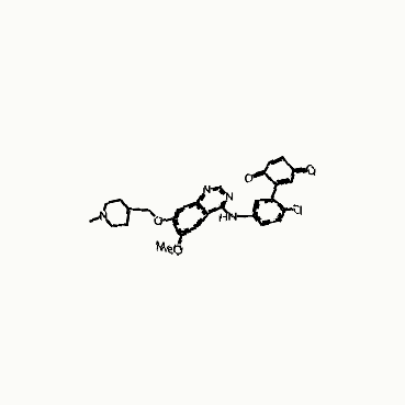 COc1cc2c(Nc3ccc(Cl)c(C4=CC(=O)C=CC4=O)c3)ncnc2cc1OCC1CCN(C)CC1